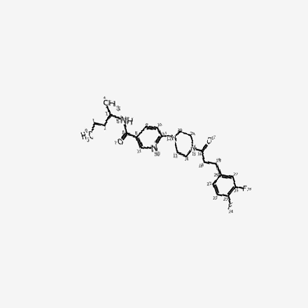 CCCC(C)NC(=O)c1ccc(N2CCN(C(=O)CCc3ccc(F)c(F)c3)CC2)nc1